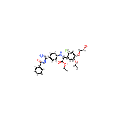 CCOC(=O)[C@H](Nc1ccc(C(N)=NC(=O)c2ccccc2)cc1)c1cc(OCC)c(OCCO)cc1F